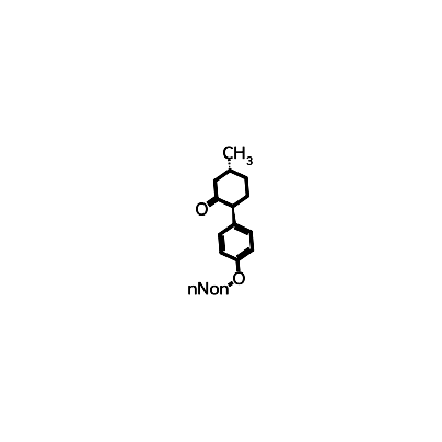 CCCCCCCCCOc1ccc([C@@H]2CC[C@@H](C)CC2=O)cc1